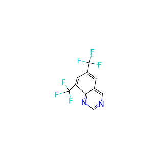 FC(F)(F)c1cc(C(F)(F)F)c2ncncc2c1